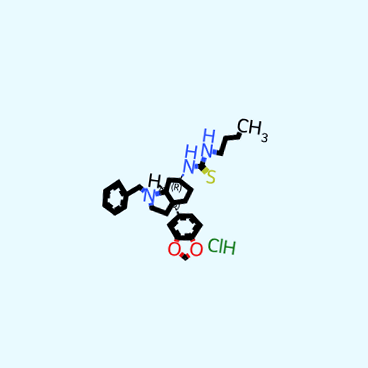 CCCCNC(=S)N[C@@H]1CC[C@@]2(c3ccc4c(c3)OCO4)CCN(Cc3ccccc3)[C@H]2C1.Cl